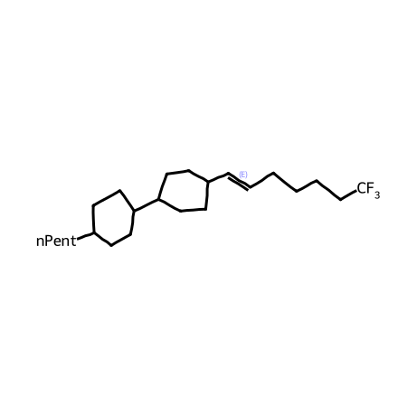 CCCCCC1CCC(C2CCC(/C=C/CCCCC(F)(F)F)CC2)CC1